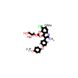 COc1cc2nc(C)c(-c3ccc(Oc4ccc(OC(F)(F)F)cc4)cc3)c(OC(=O)OCC(O)CO)c2cc1Cl